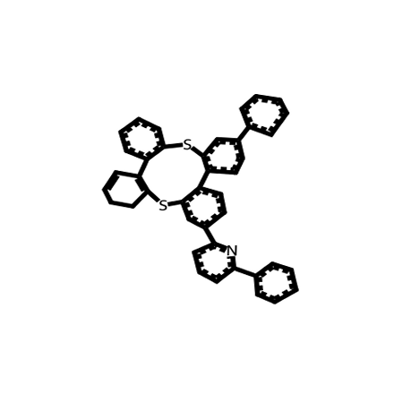 C1=CC2=C(CC1)Sc1cc(-c3cccc(-c4ccccc4)n3)ccc1-c1ccc(-c3ccccc3)cc1Sc1ccccc12